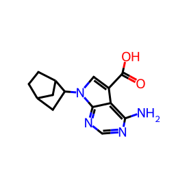 Nc1ncnc2c1c(C(=O)O)cn2C1CC2CCC1C2